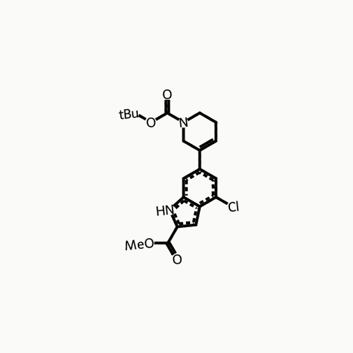 COC(=O)c1cc2c(Cl)cc(C3=CCCN(C(=O)OC(C)(C)C)C3)cc2[nH]1